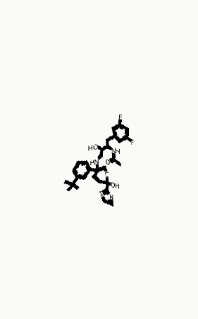 CC(=O)NC(Cc1cc(F)cc(F)c1)C(O)CNC1(c2cccc(C(C)(C)C)c2)CCC(O)(c2nccs2)CC1